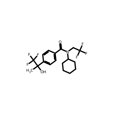 CC(O)(c1ccc(C(=O)N(CC(F)(F)F)C2CCCCC2)cc1)C(F)(F)F